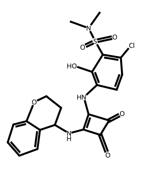 CN(C)S(=O)(=O)c1c(Cl)ccc(Nc2c(NC3CCOc4ccccc43)c(=O)c2=O)c1O